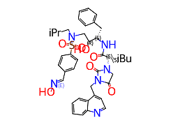 CC[C@H](C)[C@@H](C(=O)N[C@@H](Cc1ccccc1)[C@H](O)CN(CC(C)C)S(=O)(=O)c1ccc(/C=N/O)cc1)N1CC(=O)N(Cc2ccnc3ccccc23)C1=O